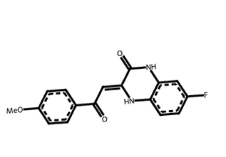 COc1ccc(C(=O)/C=C2\Nc3ccc(F)cc3NC2=O)cc1